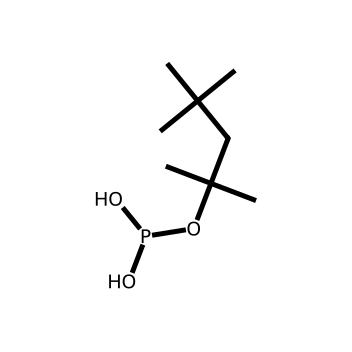 CC(C)(C)CC(C)(C)OP(O)O